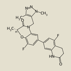 Cc1nnn(C)c1CN1C(=O)[C@@H](C)Oc2c(F)cc(-c3cc(F)c4c(c3)NC(=O)CC4)cc21